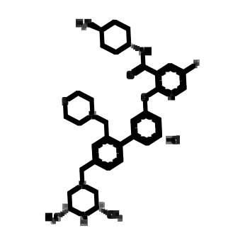 C[C@@H]1CN(Cc2ccc(-c3cccc(Oc4ncc(F)cc4C(=O)N[C@H]4CC[C@H](N)CC4)c3)c(CN3CCSCC3)c2)C[C@H](C)N1.Cl